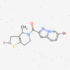 CC1C2=C(CCN1C(=O)c1cc3ccc(Br)cn3n1)SC(I)C2